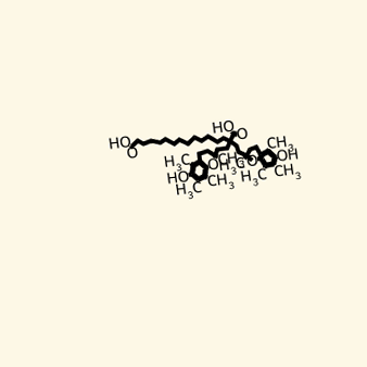 Cc1c(C)c2c(c(C)c1O)CCC(C)(CCC(CCCCCCCCCCCCCC(=O)O)(CCC1(C)CCc3c(C)c(O)c(C)c(C)c3O1)C(=O)O)O2